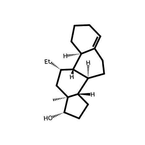 CC[C@H]1C[C@]2(C)[C@@H](O)CC[C@H]2[C@@H]2CCC3=CCCC[C@@H]3[C@@H]12